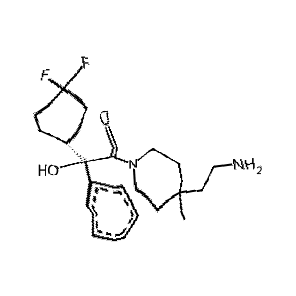 CC1(CCN)CCN(C(=O)C(O)(c2ccccc2)[C@@H]2CCC(F)(F)C2)CC1